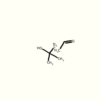 CC(C)(C)O.CC=O